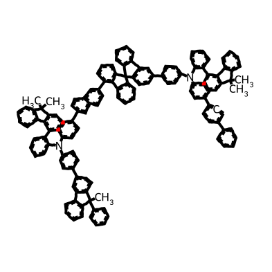 CC1(C)c2ccccc2-c2c(-c3ccccc3N(c3ccc(-c4ccc(-c5ccccc5)cc4)cc3)c3ccc(-c4ccc5c(c4)-c4ccccc4C54c5ccccc5-c5c(-c6ccc7cc(-c8ccc(N(c9ccc(-c%10ccc%11c(c%10)-c%10ccccc%10C%11(C)c%10ccccc%10)cc9)c9ccccc9-c9cccc%10c9-c9ccccc9C%10(C)C)cc8)ccc7c6)cccc54)cc3)cccc21